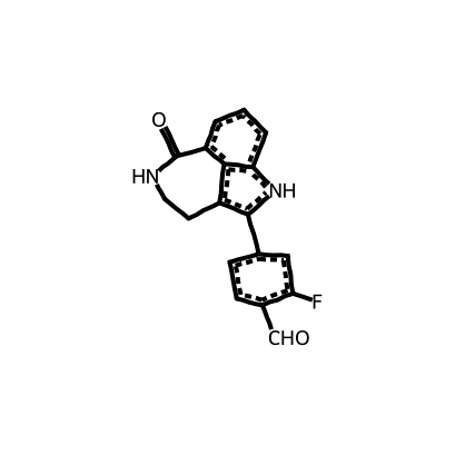 O=Cc1ccc(-c2[nH]c3cccc4c3c2CCNC4=O)cc1F